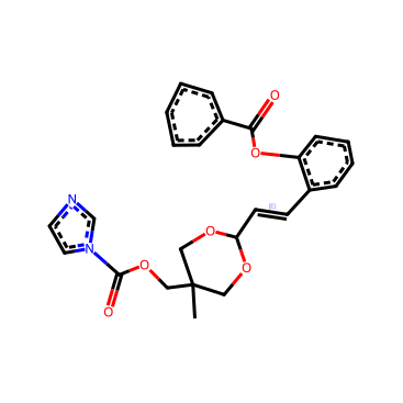 CC1(COC(=O)n2ccnc2)COC(/C=C/c2ccccc2OC(=O)c2ccccc2)OC1